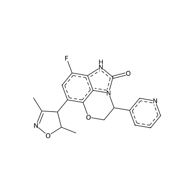 CC1=NOC(C)C1c1cc(F)c2[nH]c(=O)n3c2c1OCC3c1cccnc1